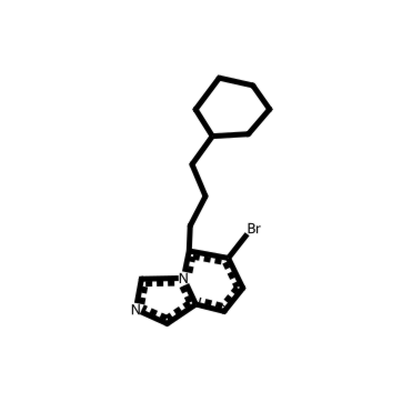 Brc1ccc2cncn2c1CCCC1CCCCC1